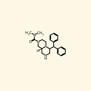 CN(C)C(=O)N1CCN2C(C(c3ccccc3)c3ccccc3)CNC[C@@H]2C1